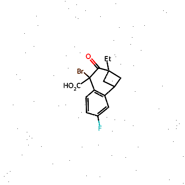 CCC12CC(C1)c1cc(F)ccc1C(Br)(C(=O)O)C2=O